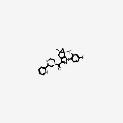 O=C(c1nn(-c2ccc(F)cc2F)c2c1C[C@H]1C[C@@H]21)N1CCSC(c2ccccn2)C1